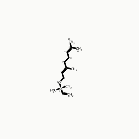 C=C[Si](C)(C)OC/C=C(\C)CCC=C(C)C